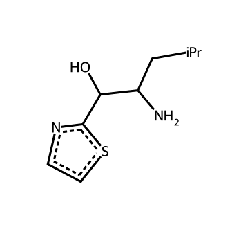 CC(C)CC(N)C(O)c1nccs1